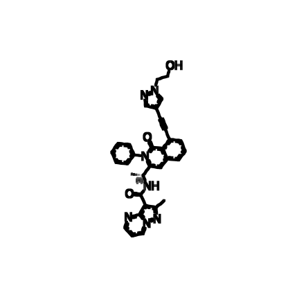 Cc1nn2cccnc2c1C(=O)N[C@H](C)c1cc2cccc(C#Cc3cnn(CCO)c3)c2c(=O)n1-c1ccccc1